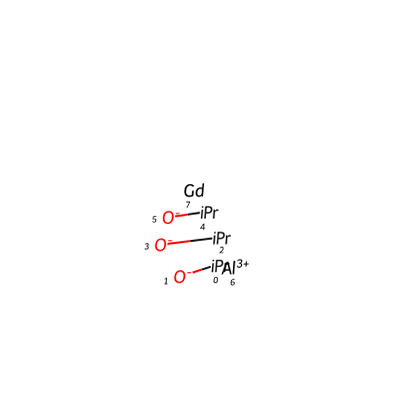 CC(C)[O-].CC(C)[O-].CC(C)[O-].[Al+3].[Gd]